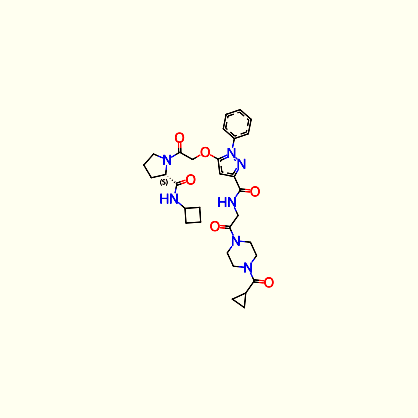 O=C(NCC(=O)N1CCN(C(=O)C2CC2)CC1)c1cc(OCC(=O)N2CCC[C@H]2C(=O)NC2CCC2)n(-c2ccccc2)n1